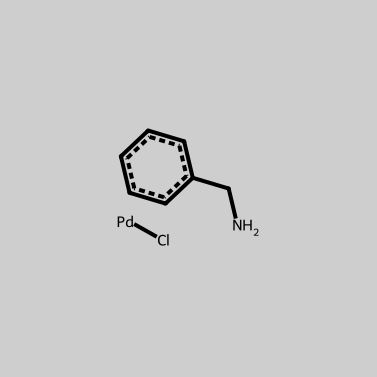 NCc1ccccc1.[Cl][Pd]